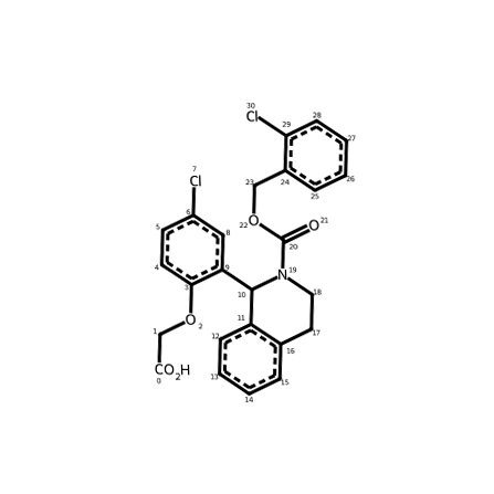 O=C(O)COc1ccc(Cl)cc1C1c2ccccc2CCN1C(=O)OCc1ccccc1Cl